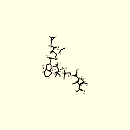 CCC[C@H](NC(=O)[C@@H]1C[C@@H]2CCCC[C@@H]2N1C(=O)[C@@H](NC(=O)CNC(=O)c1[nH]c(C)c(C(C)=O)c1C)C(C)(C)C)C(=O)C(=O)NC1CC1